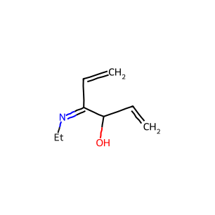 C=CC(=NCC)C(O)C=C